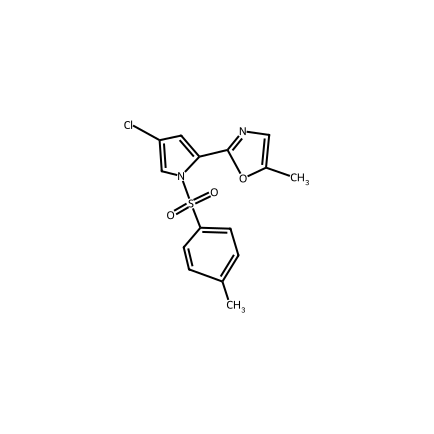 Cc1ccc(S(=O)(=O)n2cc(Cl)cc2-c2ncc(C)o2)cc1